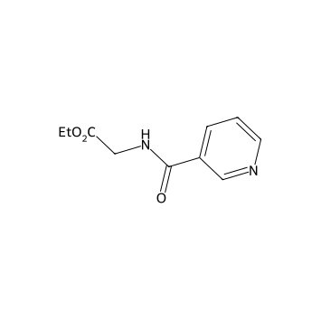 CCOC(=O)CNC(=O)c1cccnc1